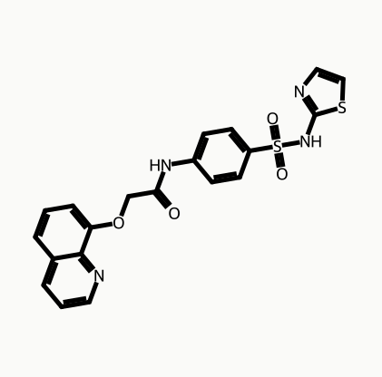 O=C(COc1cccc2cccnc12)Nc1ccc(S(=O)(=O)Nc2nccs2)cc1